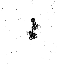 Cc1c(NCCNCC(O)COc2ccccc2)n(C)c(=S)n(C)c1=O